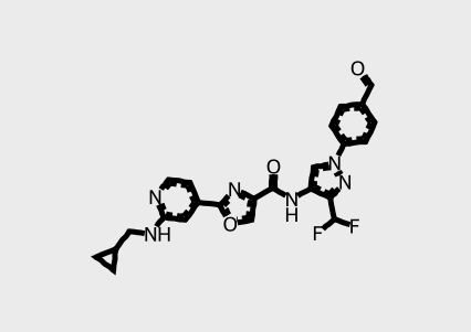 O=Cc1ccc(-n2cc(NC(=O)c3coc(-c4ccnc(NCC5CC5)c4)n3)c(C(F)F)n2)cc1